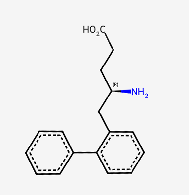 N[C@H](CCC(=O)O)Cc1ccccc1-c1ccccc1